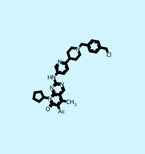 CC(=O)c1c(C)c2cnc(Nc3ccc(C4CCN(Cc5ccc(CCl)cc5)CC4)nc3)nc2n(C2CCCC2)c1=O